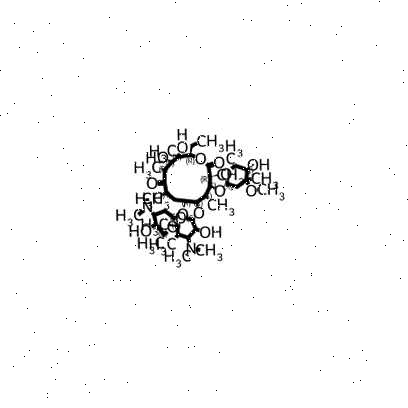 CC[C@H]1OC(=O)[C@H](C)[C@@H](O[C@H]2CC(C)(OC)[C@@H](O)C(C)O2)[C@H](C)[C@@H](O[C@@H]2O[C@H](C)C(C)C(N(C)C)C2O)[C@H](O[C@H]2CC(N(C)C)C(O)[C@@H](C)O2)C[C@@H](C)C(=O)[C@H](C)[C@@H](O)[C@]1(C)O